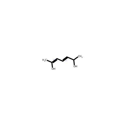 C/C(O)=C/C=C/C(C)O